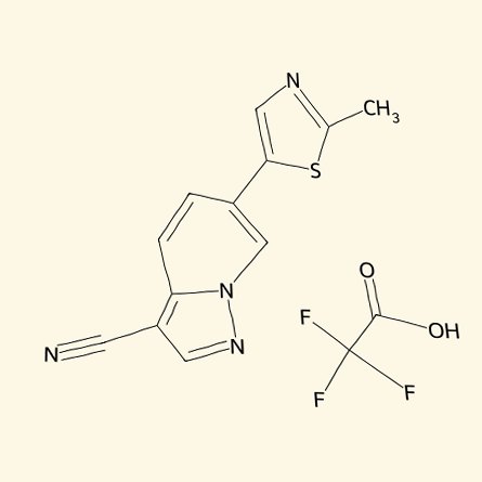 Cc1ncc(-c2ccc3c(C#N)cnn3c2)s1.O=C(O)C(F)(F)F